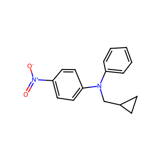 O=[N+]([O-])c1ccc(N(CC2CC2)c2ccccc2)cc1